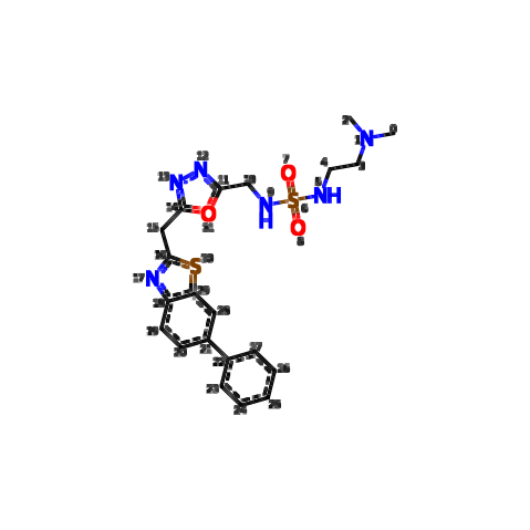 CN(C)CCNS(=O)(=O)NCc1nnc(Cc2nc3ccc(-c4ccccc4)cc3s2)o1